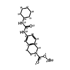 CC(C)(C)OC(=O)N1CCc2cc(NC(=O)NC3CCCCC3)ccc2C1